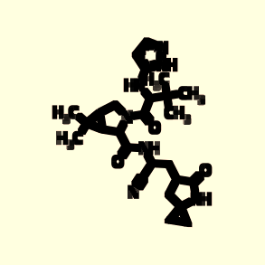 CC(C)(C)C(Nc1ccn[nH]1)C(=O)N1CC2C(C1C(=O)NC(C#N)CC1CC3(CC3)NC1=O)C2(C)C